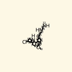 CCOC(=O)N1CCc2c([nH]c3ccc(Cl)cc23)C1c1cccc(OCCCNCCNC)c1